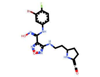 O=C=C1CCC(CCNc2nonc2C(=NO)Nc2ccc(F)c(Br)c2)N1